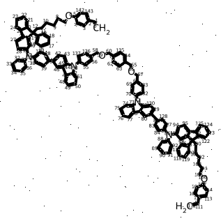 C=Cc1ccc(OCCCCCCC2(c3ccccc3)c3ccccc3-c3ccc(N(c4ccccc4)c4ccc(-c5ccc6c(c5)c5ccccc5n6-c5ccc(COCc6ccc(COCc7ccc(-n8c9ccccc9c9cc(-c%10ccc(N(c%11ccccc%11)c%11ccc%12c(c%11)C(CCCCCCOc%11ccc(C=C)cc%11)(c%11ccccc%11)c%11ccccc%11-%12)cc%10)ccc98)cc7)cc6)cc5)cc4)cc32)cc1